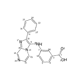 O=C(O)c1cccc(Nc2c(-c3ccccc3)nc3cnccn23)c1